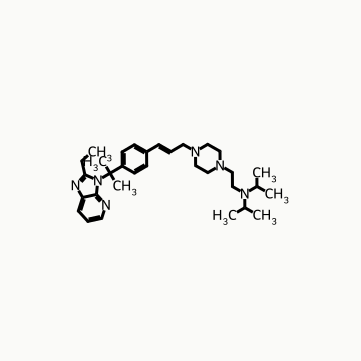 CCc1nc2cccnc2n1C(C)(C)c1ccc(C=CCN2CCN(CCN(C(C)C)C(C)C)CC2)cc1